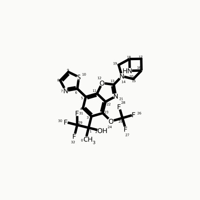 CC(O)(c1cc(-c2nccs2)c2oc(N3CC4CC(C3)N4)nc2c1OC(F)(F)F)C(F)(F)F